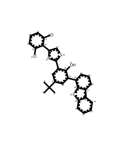 CC(C)(C)c1cc(-c2nc(-c3c(Cl)cccc3Cl)cs2)c(O)c(-c2cccc3c2sc2ccccc23)c1